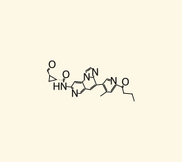 CCCC(=O)c1cc(C)c(-c2cc3cnc(NC(=O)[C@@H]4C[C@H]4C=O)cc3n3ccnc23)cn1